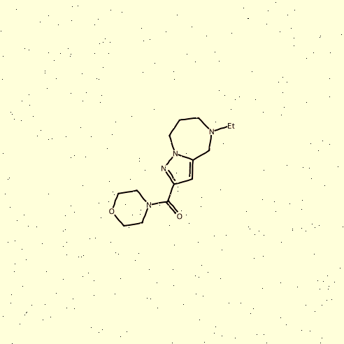 CCN1CCCn2nc(C(=O)N3CCOCC3)cc2C1